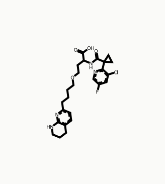 O=C(O)C(CCOCCCCc1ccc2c(n1)NCCC2)NC(=O)C1(c2ncc(F)cc2Cl)CC1